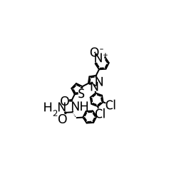 NC(=O)[C@@H](Cc1ccccc1)NC(=O)c1ccc(-c2cc(-c3ccc[n+]([O-])c3)nn2-c2ccc(Cl)c(Cl)c2)s1